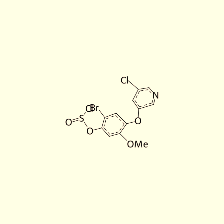 COc1cc(OS(=O)Cl)c(Br)cc1Oc1cncc(Cl)c1